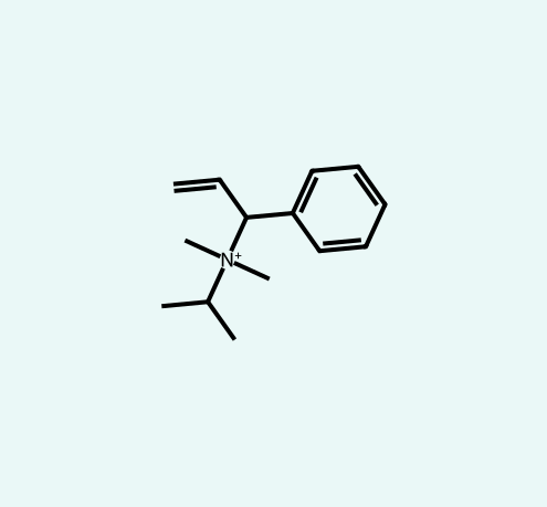 C=CC(c1ccccc1)[N+](C)(C)C(C)C